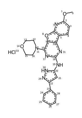 COc1ccc2c(n1)oc1c(N3CCOCC3)nc(Nc3cc(-c4ccccc4)n[nH]3)nc12.Cl